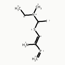 C=P/C(N)=C/SC(I)N(C)CC